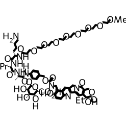 CC[C@@]1(O)C(=O)OCc2c1cc1n(c2=O)Cc2cc3c(CN(C)C(=O)OCc4ccc(NC(=O)[C@H](C)NC(=O)[C@@H](NC(=O)[C@H](CCCCN)NC(=O)CCOCCOCCOCCOCCOCCOCCOCCOC)C(C)C)c(O[C@@H]5O[C@H](C(=O)O)[C@@H](O)[C@H](O)[C@H]5O)c4)c(O)ccc3nc2-1